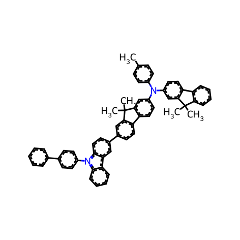 Cc1ccc(N(c2ccc3c(c2)C(C)(C)c2ccccc2-3)c2ccc3c(c2)C(C)(C)c2cc(-c4ccc5c(c4)c4ccccc4n5-c4ccc(-c5ccccc5)cc4)ccc2-3)cc1